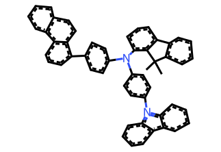 CC1(C)c2ccccc2-c2cccc(N(c3ccc(-c4cccc5c4ccc4ccccc45)cc3)c3ccc(-n4c5ccccc5c5ccccc54)cc3)c21